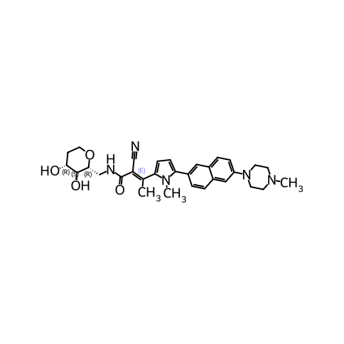 C/C(=C(/C#N)C(=O)NC[C@H]1OCC[C@@H](O)[C@@H]1O)c1ccc(-c2ccc3cc(N4CCN(C)CC4)ccc3c2)n1C